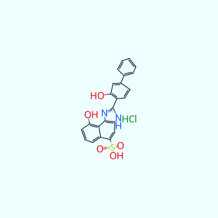 Cl.O=S(=O)(O)c1cc2[nH]c(-c3ccc(-c4ccccc4)cc3O)nc2c2c(O)cccc12